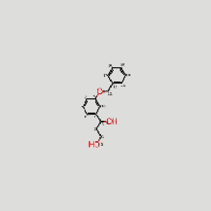 OCCC(O)c1cccc(OCc2ccccc2)c1